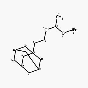 CC(C)OC(C)OCCC12CC3CC(CC(C3)C1)C2